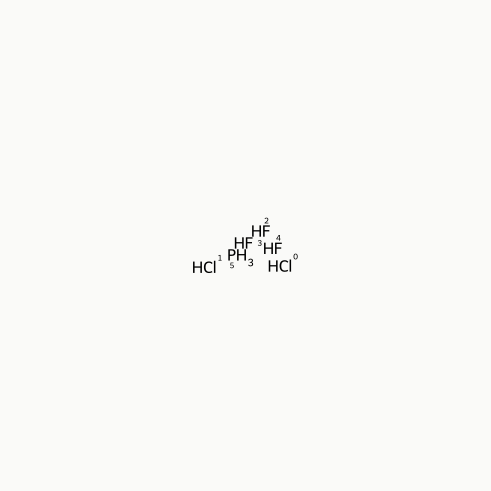 Cl.Cl.F.F.F.P